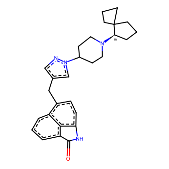 O=C1Nc2ccc(Cc3cnn(C4CCN([C@@H]5CCCC56CCC6)CC4)c3)c3cccc1c23